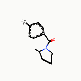 CC1CCCN1C(=O)c1ccc(C(F)(F)F)cc1